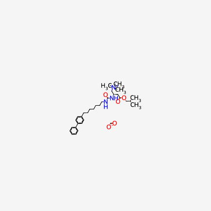 CC(C)COC(=O)C[C@H](C[N+](C)(C)C)NC(=O)NCCCCCCCc1ccc(-c2ccccc2)cc1.O=C[O-]